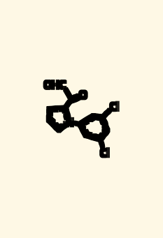 O=CC(=O)c1cccn1-c1cc(Cl)cc(Cl)c1